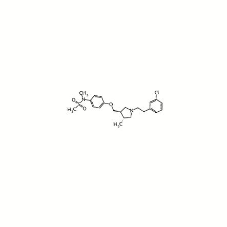 C[C@H]1CN(CCc2cccc(Cl)c2)C[C@@H]1COc1ccc(N(C)S(C)(=O)=O)cc1